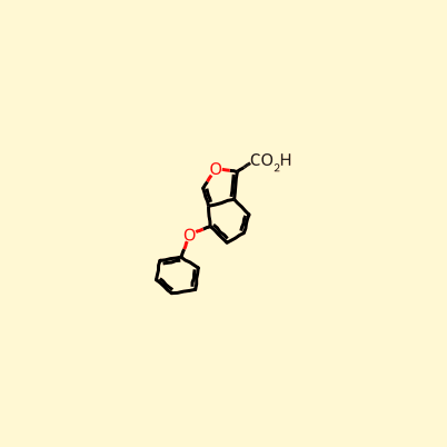 O=C(O)c1occ2c(Oc3ccccc3)cccc12